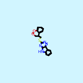 c1ccc2c(c1)OOCC2CSc1nnc2c(n1)[nH]c1ccccc12